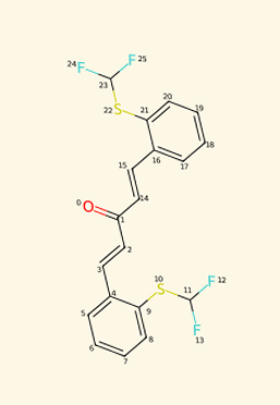 O=C(C=Cc1ccccc1SC(F)F)C=Cc1ccccc1SC(F)F